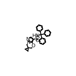 [O-][S+](NC(c1ccccc1)(c1ccccc1)c1ccccc1)c1cnn2c1OCC1(CC1)C2